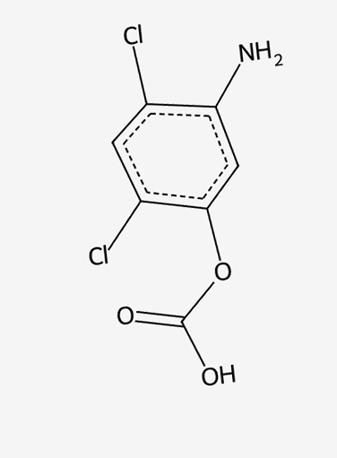 Nc1cc(OC(=O)O)c(Cl)cc1Cl